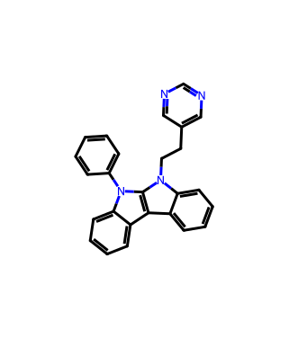 c1ccc(-n2c3ccccc3c3c4ccccc4n(CCc4cncnc4)c32)cc1